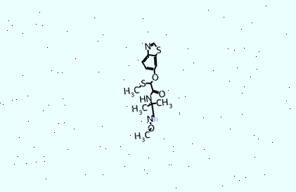 CO/N=C/C(C)(C)NC(=O)C(Oc1ccc2ncsc2c1)SC